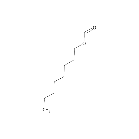 CCCCCCCCO[C]=O